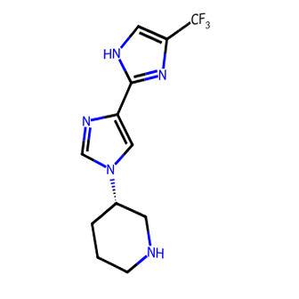 FC(F)(F)c1c[nH]c(-c2cn([C@H]3CCCNC3)cn2)n1